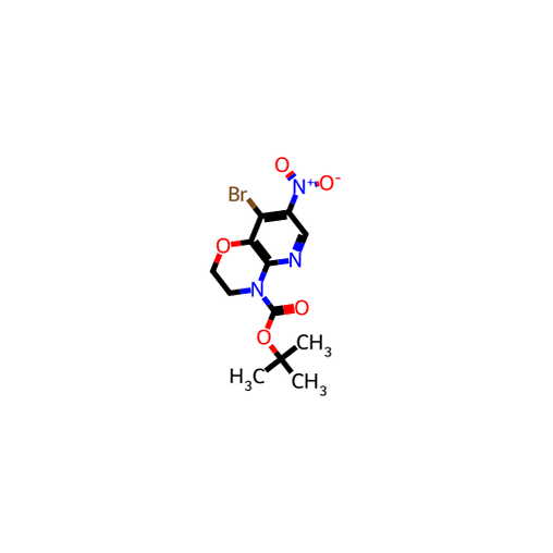 CC(C)(C)OC(=O)N1CCOc2c1ncc([N+](=O)[O-])c2Br